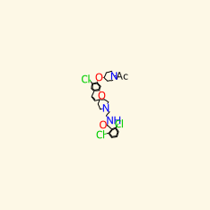 CC(=O)N1CCC(Oc2cc3c(cc2Cl)C=CC2(CCN(CCNC(=O)c4c(Cl)cccc4Cl)CC2)O3)CC1